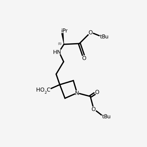 CC(C)[C@H](NCCC1(C(=O)O)CN(C(=O)OC(C)(C)C)C1)C(=O)OC(C)(C)C